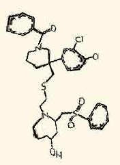 O=C(c1ccccc1)N1CCCC(CSCCN2CCC(O)CC2CS(=O)(=O)c2ccccc2)(c2ccc(Cl)c(Cl)c2)C1